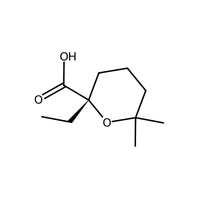 CC[C@@]1(C(=O)O)CCCC(C)(C)O1